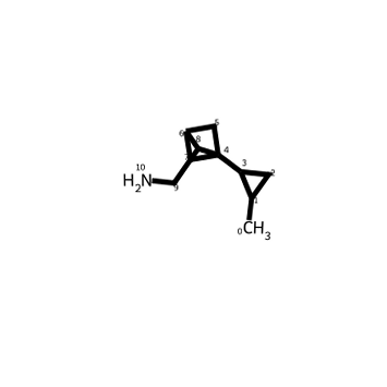 CC1CC1C12CC(C1)C2CN